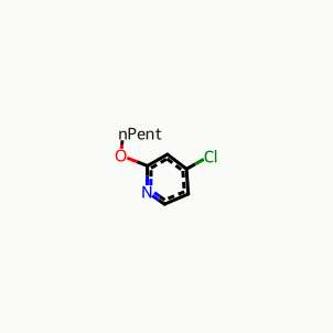 CCCCCOc1cc(Cl)ccn1